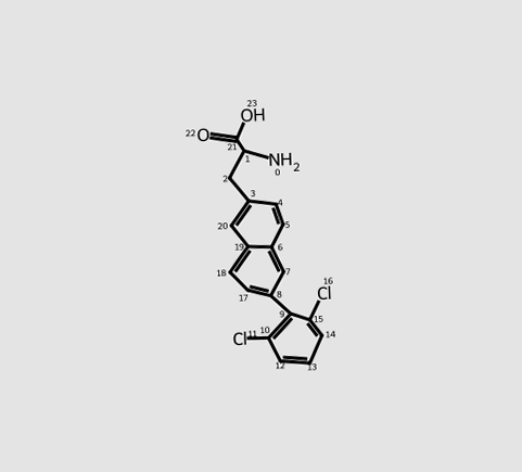 NC(Cc1ccc2cc(-c3c(Cl)cccc3Cl)ccc2c1)C(=O)O